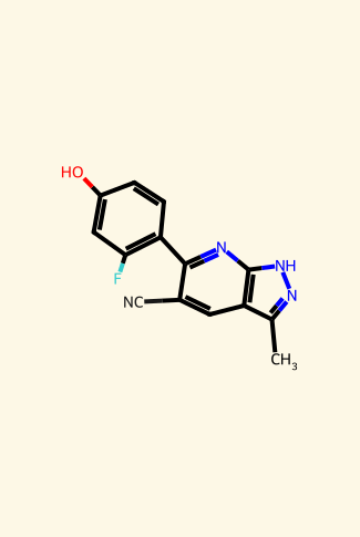 Cc1n[nH]c2nc(-c3ccc(O)cc3F)c(C#N)cc12